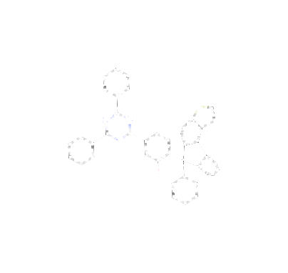 c1ccc(-c2nc(-c3ccccc3)nc(-c3ccc4c(c3)Oc3ccccc3C43c4ccccc4-c4c3ccc3sccc43)n2)cc1